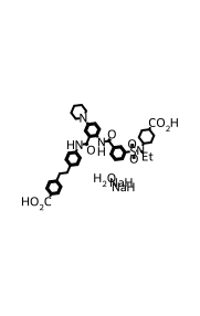 CCN(C1CCC(C(=O)O)CC1)S(=O)(=O)c1cccc(C(=O)Nc2ccc(N3CCCCC3)cc2C(=O)Nc2ccc(CCc3ccc(C(=O)O)cc3)cc2)c1.O.[NaH].[NaH]